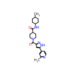 Cc1cc(-c2cc(C(=O)N3CCC(C(=O)NC4CCC(C)CC4)CC3)n[nH]2)ccn1